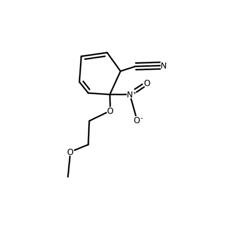 COCCOC1([N+](=O)[O-])C=CC=CC1C#N